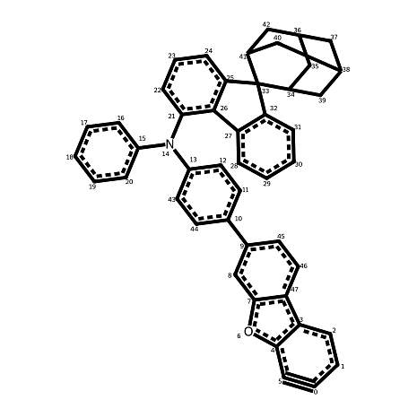 c1ccc2c(c#1)oc1cc(-c3ccc(N(c4ccccc4)c4cccc5c4-c4ccccc4C54C5CC6CC(C5)CC4C6)cc3)ccc12